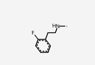 [CH]NCCc1ccccc1F